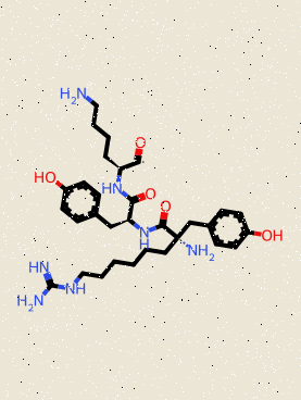 N=C(N)NCCCCCC[C@](N)(Cc1ccc(O)cc1)C(=O)N[C@@H](Cc1ccc(O)cc1)C(=O)N[C@H]([C]=O)CCCCN